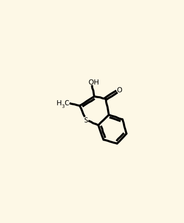 Cc1sc2ccccc2c(=O)c1O